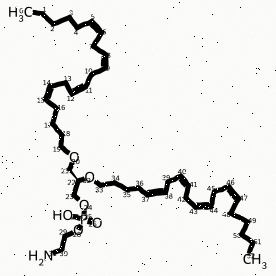 CCCCC/C=C\C/C=C\C/C=C\C/C=C\CCCCOC[C@H](COP(=O)(O)OCCN)OCCCC/C=C\C/C=C\C/C=C\C/C=C\CCCCC